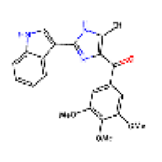 [2H]c1[nH]c(-c2c[nH]c3ccccc23)nc1C(=O)c1cc(OC)c(OC)c(OC)c1